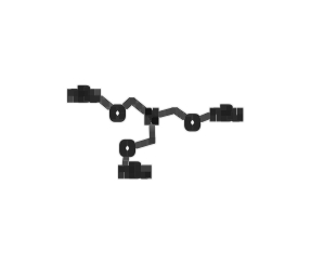 CCCCOCN(COCCCC)COCCCC